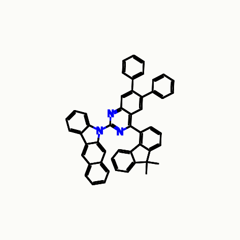 CC1(C)c2ccccc2-c2c(-c3nc(-n4c5ccccc5c5cc6ccccc6cc54)nc4cc(-c5ccccc5)c(-c5ccccc5)cc34)cccc21